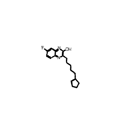 Oc1nc2cc(F)ccc2nc1CCCCCC1CCCC1